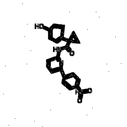 O=C(Nc1cccc(-c2ccc([SH](=O)=O)cc2)n1)C1(c2ccc(O)cc2)CC1